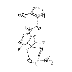 CC1OCC(c2cc(NC(=O)c3ncccc3C#N)ccc2F)(C(F)F)N=C1N